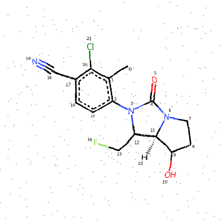 Cc1c(N2C(=O)N3CCC(O)[C@H]3C2CF)ccc(C#N)c1Cl